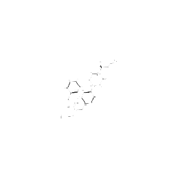 CC(C)CN(Cc1ccc(N2CCN(C(=O)CC#N)CC2)cc1)S(=O)(=O)Cc1ccccc1